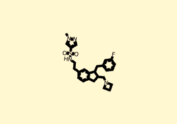 Cn1cc(S(=O)(=O)NCCc2ccc3c(c2)C(Cc2cccc(F)c2)C(CN2CCC2)C3)cn1